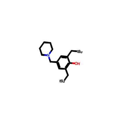 CC(C)(C)Cc1cc(CN2CCCCC2)cc(CC(C)(C)C)c1O